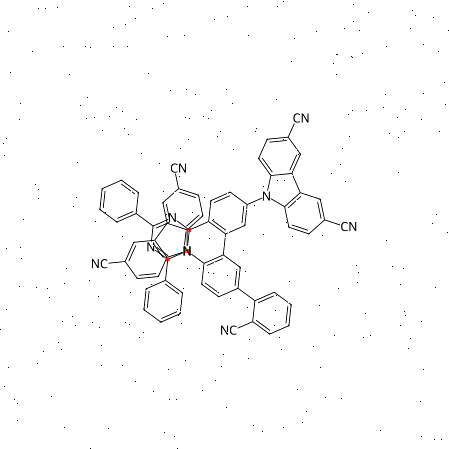 N#Cc1ccc2c(c1)c1cc(C#N)ccc1n2-c1ccc(-c2nc(-c3ccccc3)nc(-c3ccccc3)n2)c(-c2cc(-c3ccccc3C#N)ccc2-n2c3ccc(C#N)cc3c3cc(C#N)ccc32)c1